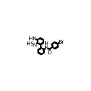 N=C1C=CC=C(c2ccccc2NC(=O)c2ccc(Br)cc2)/C1=N/S